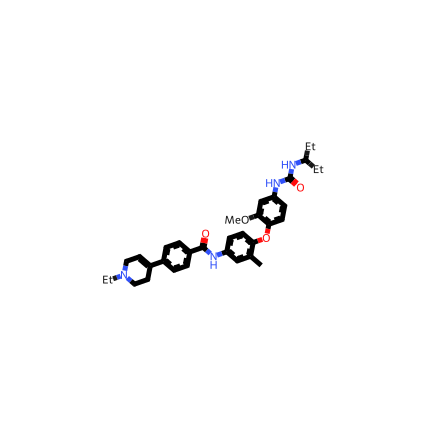 CCC(CC)NC(=O)Nc1ccc(Oc2ccc(NC(=O)c3ccc(C4=CCN(CC)CC4)cc3)cc2C)c(OC)c1